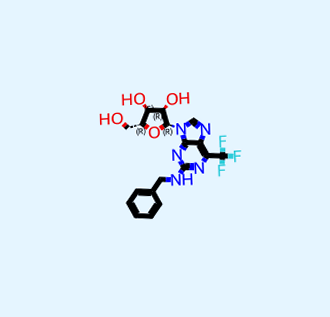 OC[C@H]1O[C@@H](n2cnc3c(C(F)(F)F)nc(NCc4ccccc4)nc32)[C@H](O)[C@@H]1O